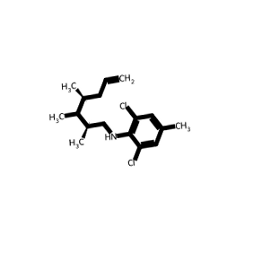 C=CC[C@H](C)C(C)[C@H](C)CNc1c(Cl)cc(C)cc1Cl